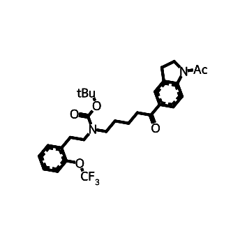 CC(=O)N1CCc2cc(C(=O)CCCCN(CCc3ccccc3OC(F)(F)F)C(=O)OC(C)(C)C)ccc21